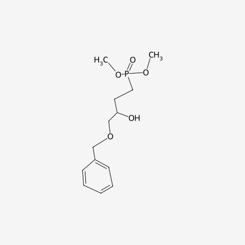 COP(=O)(CCC(O)COCc1ccccc1)OC